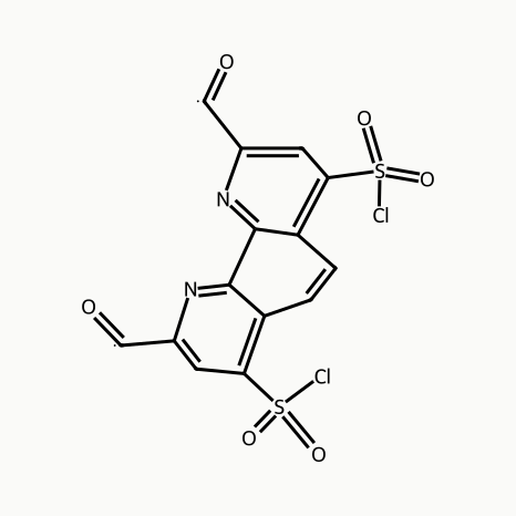 O=[C]c1cc(S(=O)(=O)Cl)c2ccc3c(S(=O)(=O)Cl)cc([C]=O)nc3c2n1